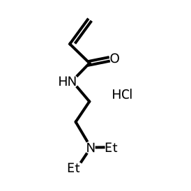 C=CC(=O)NCCN(CC)CC.Cl